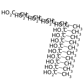 CC(=O)O.CC(=O)O.CC(=O)O.CC(=O)O.CC(=O)O.CC(=O)O.CC(=O)O.CC(=O)O.CC(=O)O.CC(=O)O.CC(=O)O.CC(=O)O.CC(=O)O.CC(=O)O